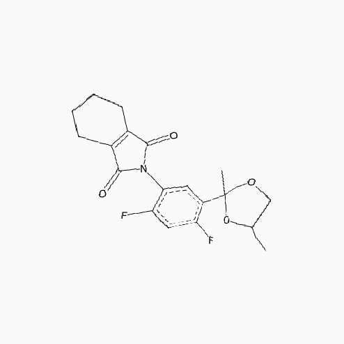 CC1COC(C)(c2cc(N3C(=O)C4=C(CCCC4)C3=O)c(F)cc2F)O1